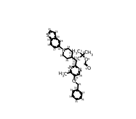 CC(C)(C)OC=O.Cc1nc(CC2CCN(c3ccc4sccc4c3)CC2)ncc1OCc1ccccc1